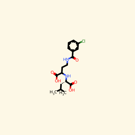 CC(C)C[C@H](NC(CCNC(=O)c1cccc(Cl)c1)C(=O)O)C(=O)O